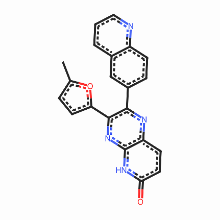 Cc1ccc(-c2nc3[nH]c(=O)ccc3nc2-c2ccc3ncccc3c2)o1